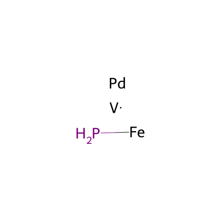 [PH2][Fe].[Pd].[V]